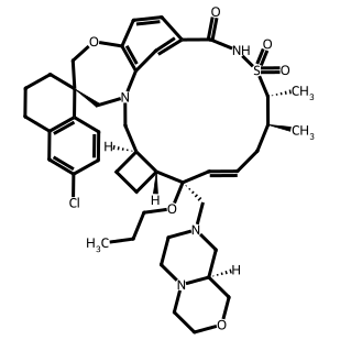 CCCO[C@]1(CN2CCN3CCOC[C@@H]3C2)/C=C/C[C@H](C)[C@@H](C)S(=O)(=O)NC(=O)c2ccc3c(c2)N(C[C@@H]2CC[C@H]21)C[C@@]1(CCCc2cc(Cl)ccc21)CO3